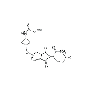 CC(C)(C)OC(=O)NC1CC(OC2=CC=C3C(=O)N(C4CCC(=O)NC4=O)C(=O)C3C2)C1